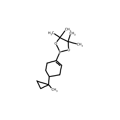 CC1(C2CC=C(B3OC(C)(C)C(C)(C)O3)CC2)CC1